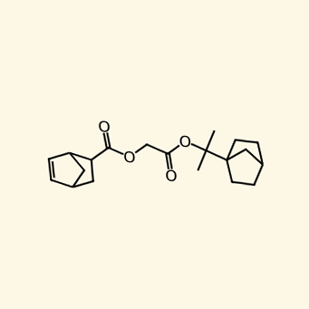 CC(C)(OC(=O)COC(=O)C1CC2C=CC1C2)C12CCC(CC1)C2